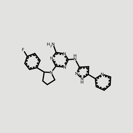 Nc1nc(Nc2cc(-c3ccccn3)[nH]n2)nc(N2CCCC2c2ccc(F)cc2)n1